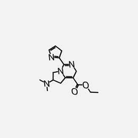 CCOC(=O)C1=C2CC(N(C)C)CN2C(C2=NC=CC2)=NC1